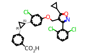 O=C(O)c1cccc([C@@H]2C[C@@H]2c2ccc(OCc3c(-c4c(Cl)cccc4Cl)noc3C3CC3)cc2Cl)c1